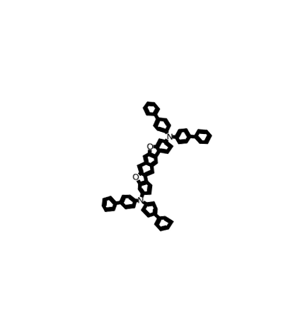 c1ccc(-c2ccc(N(c3ccc(-c4ccccc4)cc3)c3ccc4c(c3)oc3cc5cc6oc7cc(N(c8ccc(-c9ccccc9)cc8)c8ccc(-c9ccccc9)cc8)ccc7c6cc5cc34)cc2)cc1